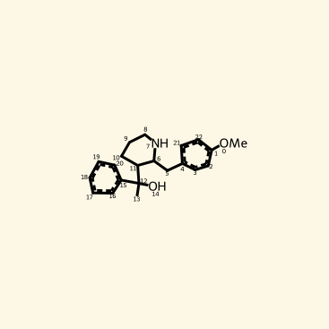 COc1ccc(CC2NCCCC2C(C)(O)c2ccccc2)cc1